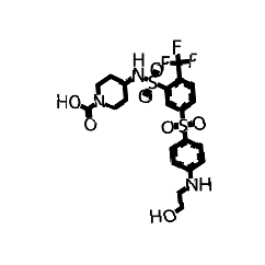 O=C(O)N1CCC(NS(=O)(=O)c2cc(S(=O)(=O)c3ccc(NCCO)cc3)ccc2C(F)(F)F)CC1